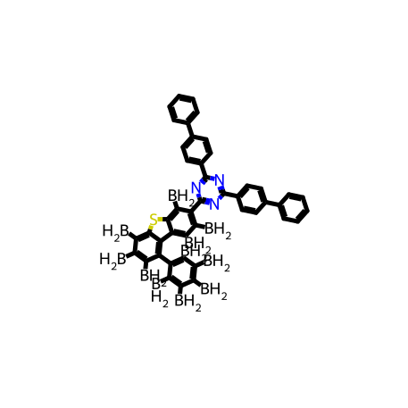 Bc1c(B)c(B)c(-c2c(B)c(B)c(B)c3sc4c(B)c(-c5nc(-c6ccc(-c7ccccc7)cc6)nc(-c6ccc(-c7ccccc7)cc6)n5)c(B)c(B)c4c23)c(B)c1B